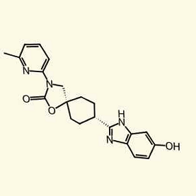 Cc1cccc(N2C[C@]3(CC[C@@H](c4nc5ccc(O)cc5[nH]4)CC3)OC2=O)n1